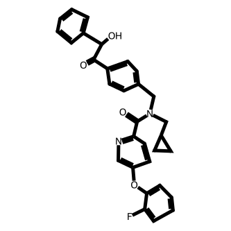 O=C(c1ccc(CN(CC2CC2)C(=O)c2ccc(Oc3ccccc3F)cn2)cc1)C(O)c1ccccc1